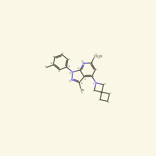 CCOC(=O)c1cc(N2CC3(CCC3)C2)c2c(C(C)C)nn(-c3cccc(C)c3)c2n1